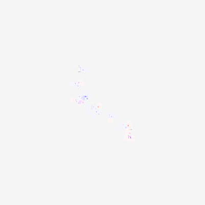 NC(=O)C(CCCCNC(=O)CCCc1c[nH]c2ccccc12)NC(=O)C(N)CCCCNC(=O)C(N)CCCCNC(=O)CCCCCNC(=O)c1ccc([N+](=O)[O-])o1